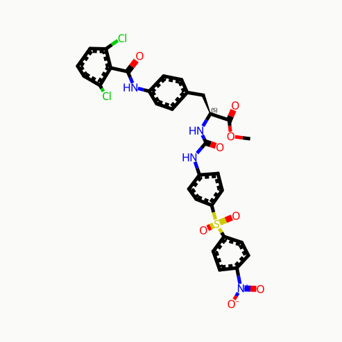 COC(=O)[C@H](Cc1ccc(NC(=O)c2c(Cl)cccc2Cl)cc1)NC(=O)Nc1ccc(S(=O)(=O)c2ccc([N+](=O)[O-])cc2)cc1